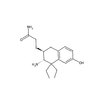 CCC1(CC)c2cc(O)ccc2C[C@H](SCC(N)=O)[C@H]1N